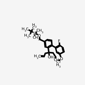 C=CCC(O)(CC=C)c1cc(CO[Si](C)(C)C(C)(C)C)ccc1-c1cc(OC)ccc1F